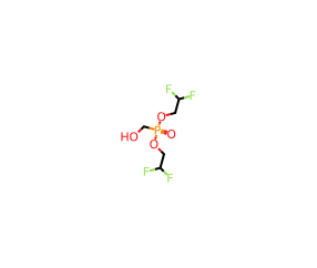 O=P(CO)(OCC(F)F)OCC(F)F